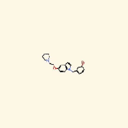 Brc1cccc(Cn2ccc3cc(OCCN4CCCCC4)ccc32)c1